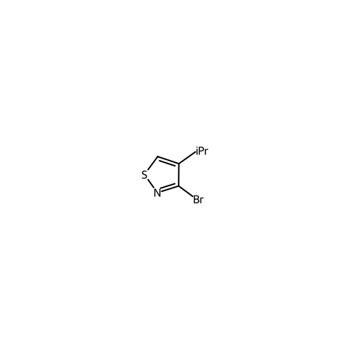 CC(C)c1csnc1Br